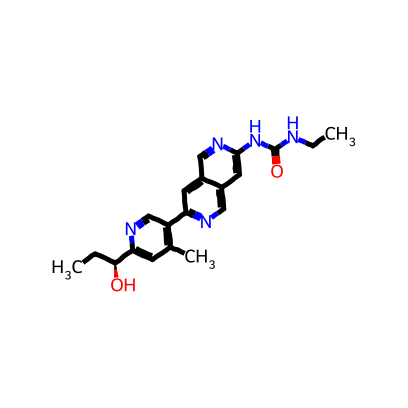 CCNC(=O)Nc1cc2cnc(-c3cnc([C@@H](O)CC)cc3C)cc2cn1